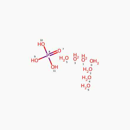 O.O.O.O.O.O.O.O=P(O)(O)O